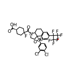 O=C(O)[C@H]1CC[C@](F)(C(=O)N2CCC3(S(=O)(=O)c4ccc(Cl)c(Cl)c4)c4ccc(C(F)(C(F)(F)F)C(F)(F)F)cc4CCC23)CC1